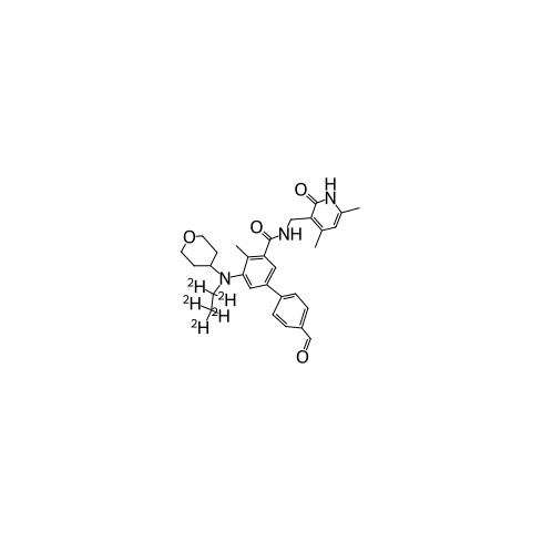 [2H]C([2H])([2H])C([2H])([2H])N(c1cc(-c2ccc(C=O)cc2)cc(C(=O)NCc2c(C)cc(C)[nH]c2=O)c1C)C1CCOCC1